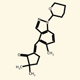 Cc1ccc2c(cnn2C2CCCCO2)c1/C=C1\CCC(C)(C)C1=O